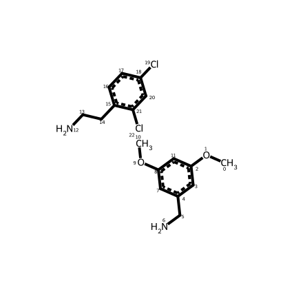 COc1cc(CN)cc(OC)c1.NCCc1ccc(Cl)cc1Cl